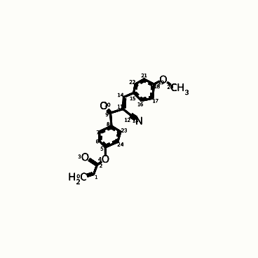 C=CC(=O)Oc1ccc(C(=O)C(C#N)=Cc2ccc(OC)cc2)cc1